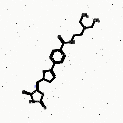 CCN(CC)CCNC(=O)c1ccc(C2=CCC(/C=C3\SC(=S)NC3=O)O2)cc1